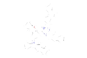 c1ccc2cc(-c3nc(-c4ccc5c(ccc6ccccc65)c4)nc(-c4cc(-n5c6ccccc6c6cc7ccccc7cc65)cc5c4oc4ccccc45)n3)ccc2c1